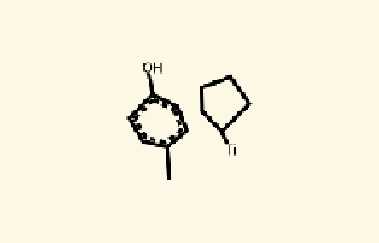 Cc1ccc(O)cc1.[Ti][CH]1CCCC1